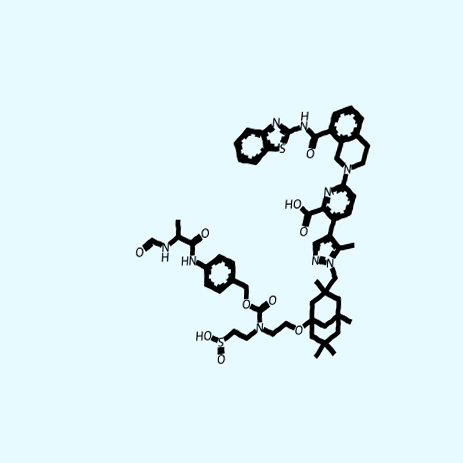 Cc1c(-c2ccc(N3CCc4cccc(C(=O)Nc5nc6ccccc6s5)c4C3)nc2C(=O)O)cnn1CC1(C)CC2(C)CC(C)(C)CC(OCCN(CCS(=O)O)C(=O)OCc3ccc(NC(=O)C(C)NC=O)cc3)(C1)C2